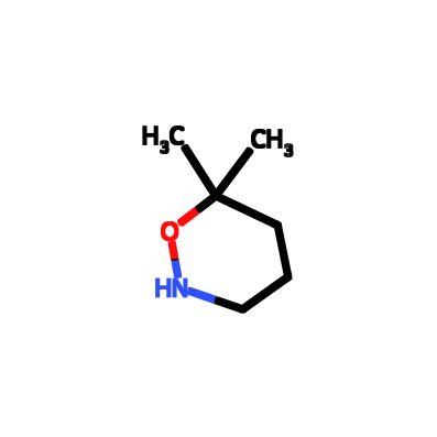 CC1(C)CCCNO1